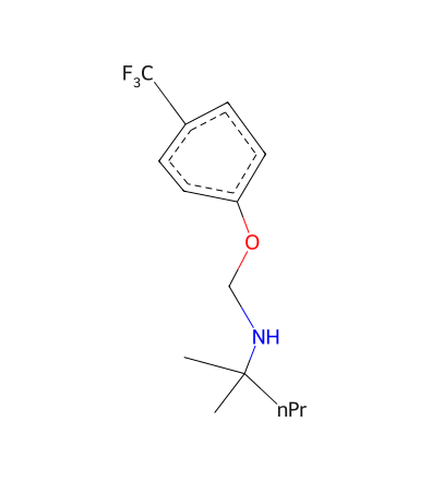 CCCC(C)(C)NCOc1ccc(C(F)(F)F)cc1